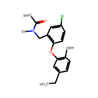 CCN(Cc1cc(Br)ccc1Oc1cc(CC(=O)O)ccc1OC)C(=O)OC